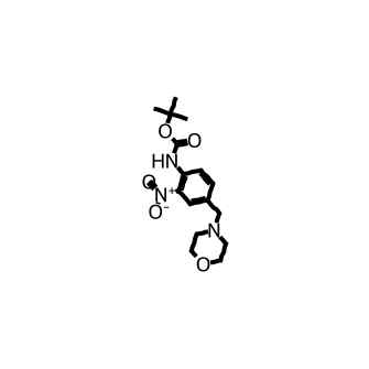 CC(C)(C)OC(=O)Nc1ccc(CN2CCOCC2)cc1[N+](=O)[O-]